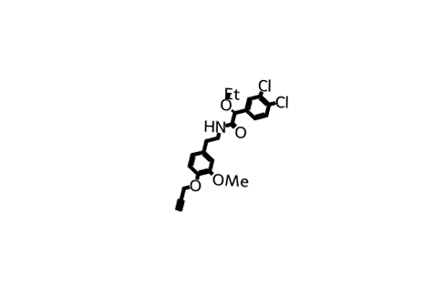 C#CCOc1ccc(CCNC(=O)[C@@H](OCC)c2ccc(Cl)c(Cl)c2)cc1OC